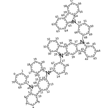 c1ccc(-n2c3ccccc3c3ccc4c(c5ccccc5n4-c4cccc(-n5c6ccccc6c6cc7c(cc65)c5ccccc5n7-c5cccc(-n6c7ccccc7c7ccccc76)c5)c4)c32)cc1